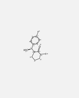 C[C@@H](c1ccc(F)cc1)N1CCCC(I)C1=O